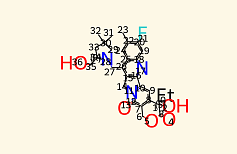 CC[C@@]1(O)C(=O)OCc2c1cc1n(c2=O)Cc2c-1nc1cc(F)c(C)cc1c2CN1CC(C)(C)C[C@@H]1CO